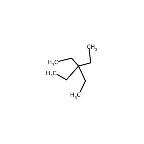 CCC(CC)(CC)CC